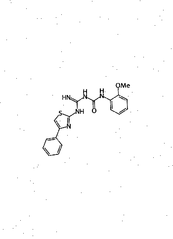 COc1ccccc1NC(=O)NC(=N)Nc1nc(-c2ccccc2)cs1